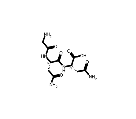 NCC(=O)N[C@@H](CC(N)=O)C(=O)N[C@@H](CC(N)=O)C(=O)O